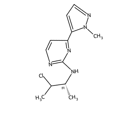 CC(Cl)[C@@H](C)Nc1nccc(-c2ccnn2C)n1